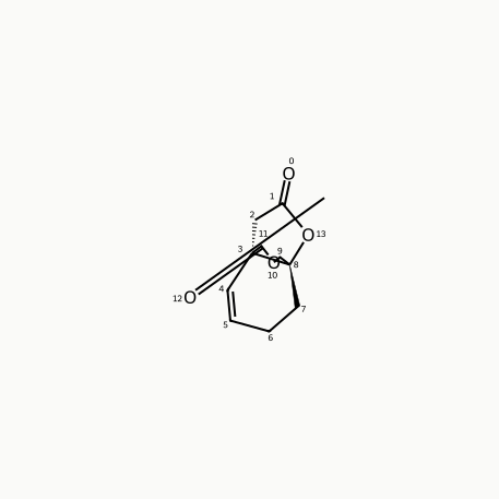 O=C1C[C@@]23C=CCC[C@@]2(COC3=O)O1